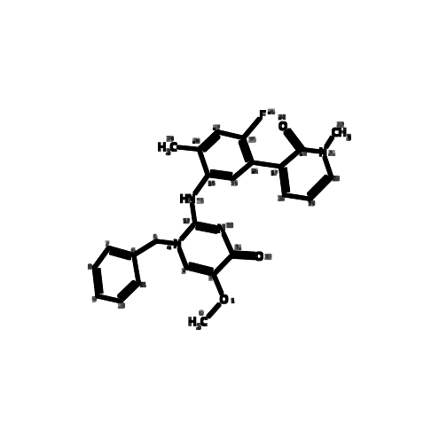 COc1cn(Cc2ccccc2)c(Nc2cc(-c3cccn(C)c3=O)c(F)cc2C)nc1=O